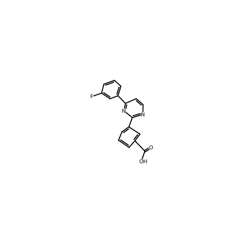 O=C(O)c1cccc(-c2nccc(-c3cccc(F)c3)n2)c1